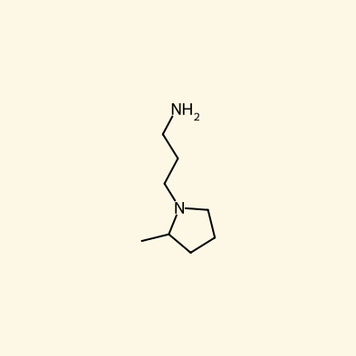 CC1CCCN1CCCN